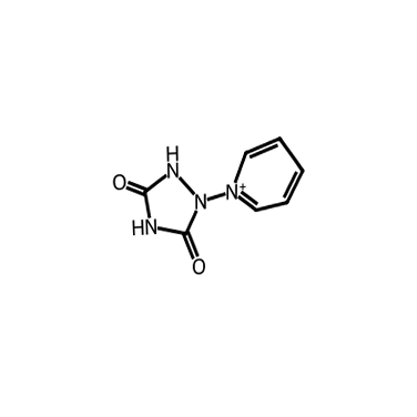 O=c1[nH]c(=O)n(-[n+]2ccccc2)[nH]1